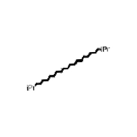 [CH2]C(C)CCCCCCCC[CH]CCCCCCCCCCC(C)C